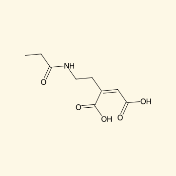 CCC(=O)NCCC(=CC(=O)O)C(=O)O